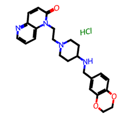 Cl.O=c1ccc2ncccc2n1CCN1CCC(NCc2ccc3c(c2)OCCO3)CC1